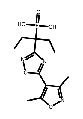 CCC(CC)(c1noc(-c2c(C)noc2C)n1)P(=O)(O)O